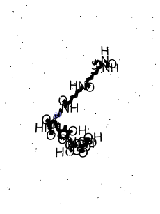 CC1C(O)C(COP(=O)(O)OP(=O)(O)OP(=O)(O)O)OCC1n1cc(/C=C/CNC(=O)CCCCCNC(=O)CCCCC2SCC3NC(=O)NC32)c(=O)[nH]c1=O